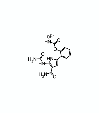 CCCNC(=O)Oc1ccccc1-c1cc(C(N)=O)c(NC(N)=O)[nH]1